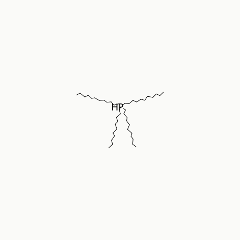 CCCCCCCCCCCC[PH](CCCCCCCCCCC)(CCCCCCCCCCC)CCCCCCCCCCC